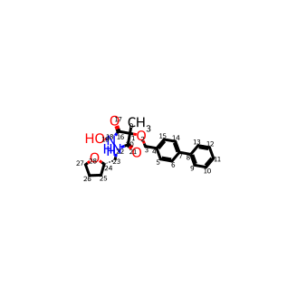 CC(OCc1ccc(-c2ccccc2)cc1)(C(=O)NO)C(=O)NC[C@@H]1CCCO1